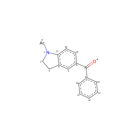 CC(=O)N1CCc2cc(C(=O)c3ccccc3)ccc21